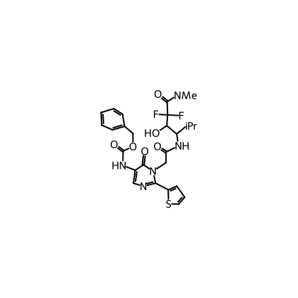 CNC(=O)C(F)(F)C(O)C(NC(=O)Cn1c(-c2cccs2)ncc(NC(=O)OCc2ccccc2)c1=O)C(C)C